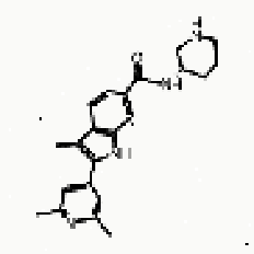 Cc1cc(-c2[nH]c3cc(C(=O)N[C@H]4CCCNC4)ccc3c2C)cc(C)n1